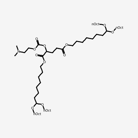 CCCCCCCCOC(CCCCCCCOC(=O)CCC(OC(=O)OCCN(C)C)C(=O)OCCCCCCCC(OCCCCCCCC)OCCCCCCCC)OCCCCCCCC